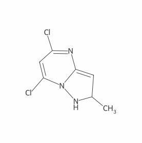 CC1C=C2N=C(Cl)C=C(Cl)N2N1